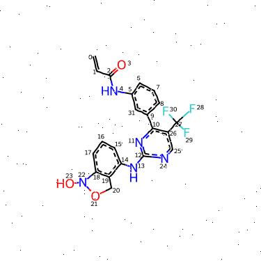 C=CC(=O)Nc1cccc(-c2nc(Nc3cccc4c3CON4O)ncc2C(F)(F)F)c1